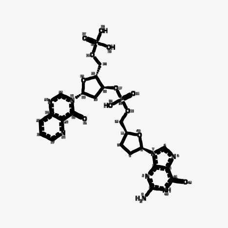 Nc1nc2c(ncn2[C@H]2CC[C@@H](COP(=O)(O)O[C@H]3C[C@H](n4cnc5cccnc5c4=O)O[C@@H]3COP(=O)(O)O)O2)c(=O)[nH]1